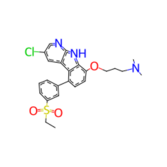 CCS(=O)(=O)c1cccc(-c2ccc(OCCCN(C)C)c3[nH]c4ncc(Cl)cc4c23)c1